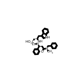 CCN(N[C@H](CC(=O)O)Cc1c[nH]c2ccccc12)[C@@H](CC(=O)N(C)Cc1ccccc1)c1ccccc1